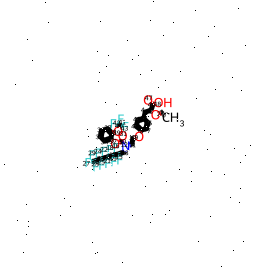 CCOC(Cc1ccc(OCCN(CC(F)(F)C(F)(F)C(F)(F)C(F)(F)C(F)(F)F)C(=O)Oc2ccccc2OC(F)(F)F)cc1)C(=O)O